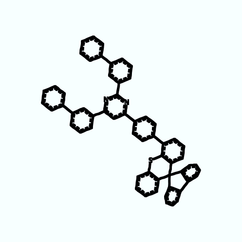 c1ccc(-c2cccc(-c3cc(-c4ccc(-c5cccc6c5Sc5ccccc5C65c6ccccc6-c6ccccc65)cc4)nc(-c4cccc(-c5ccccc5)c4)n3)c2)cc1